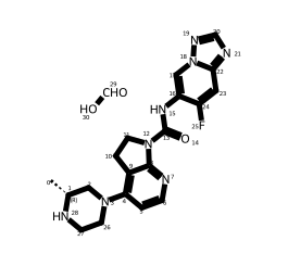 C[C@@H]1CN(c2ccnc3c2CCN3C(=O)Nc2cn3ncnc3cc2F)CCN1.O=CO